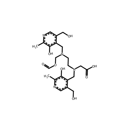 Cc1ncc(CO)c(CN(CCN(CC(=O)O)Cc2c(CO)cnc(C)c2O)COC=O)c1O